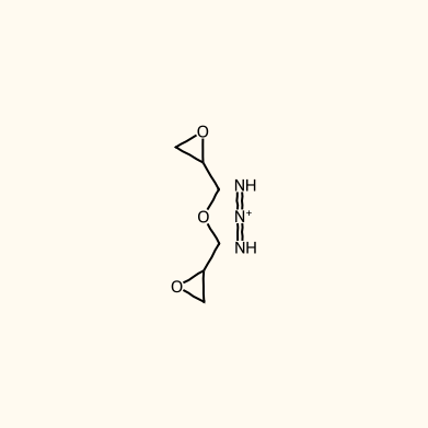 C(OCC1CO1)C1CO1.N=[N+]=N